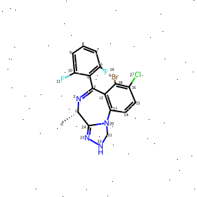 C[C@@H]1N=C(c2c(F)cccc2F)c2c(ccc(Cl)c2Br)N2CNN=C12